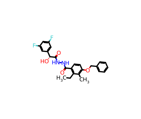 CCc1c(C(=O)NNC(=O)[C@H](O)c2cc(F)cc(F)c2)ccc(OCc2ccccc2)c1C